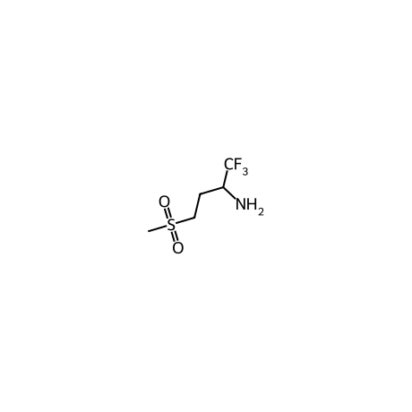 CS(=O)(=O)CCC(N)C(F)(F)F